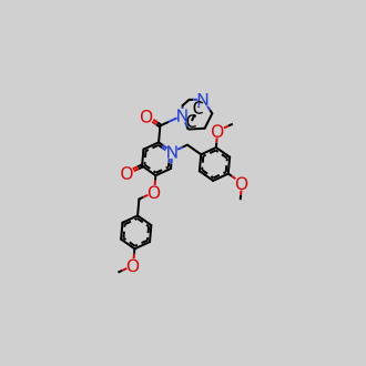 COc1ccc(COc2cn(Cc3ccc(OC)cc3OC)c(C(=O)N3CCN4CCC3CC4)cc2=O)cc1